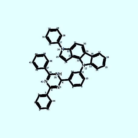 c1ccc(C2=NC(c3cccc(-n4c5ccccc5c5ccc6c(ccn6-c6ccccc6)c54)c3)NC(c3ccccc3)=N2)cc1